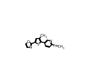 [CH3][Fe][c]1ccc(-c2sc(-c3ncco3)cc2C)cn1